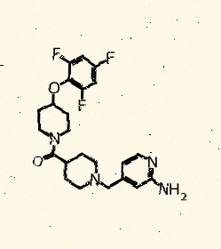 Nc1cc(CN2CCC(C(=O)N3CCC(Oc4c(F)cc(F)cc4F)CC3)CC2)ccn1